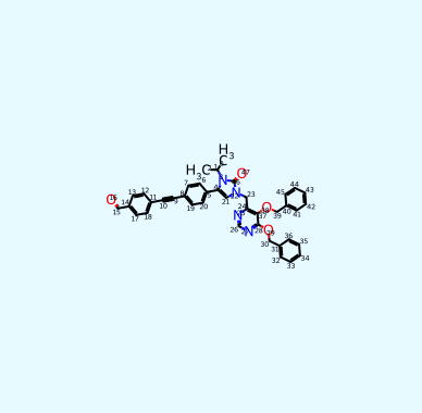 CC(C)n1c(-c2ccc(C#Cc3ccc(C=O)cc3)cc2)cn(Cc2ncnc(OCc3ccccc3)c2OCc2ccccc2)c1=O